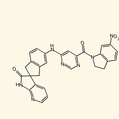 O=C(c1cc(Nc2ccc3c(c2)CC2(C3)C(=O)Nc3ncccc32)ncn1)N1CCc2ccc([N+](=O)[O-])cc21